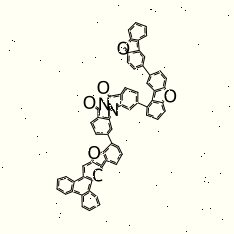 O=c1c2ccc(-c3cccc4c3oc3cc5c6ccccc6c6ccccc6c5cc34)cc2n2c3cc(-c4cccc5oc6ccc(-c7ccc8oc9ccccc9c8c7)cc6c45)ccc3c(=O)n12